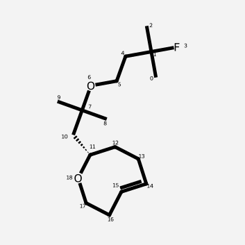 CC(C)(F)CCOC(C)(C)C[C@@H]1CC/C=C/CCO1